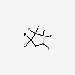 [O]C1(F)CC(F)C(F)(F)C1(F)F